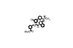 COC(=O)c1cccc(CONC(=O)[C@@H]2c3ccccc3C(=O)N([C@@H]3CCCC[C@H]3N[S+](C)[O-])[C@H]2c2ccc(Cl)cc2Cl)c1